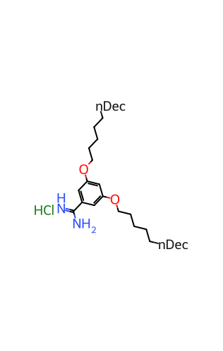 CCCCCCCCCCCCCCCOc1cc(OCCCCCCCCCCCCCCC)cc(C(=N)N)c1.Cl